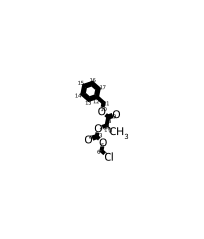 C[C@H](OC(=O)OCCl)C(=O)OCc1ccccc1